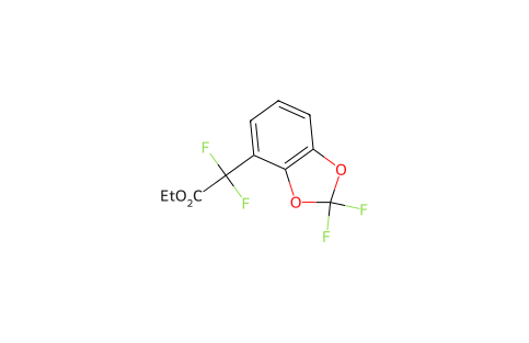 CCOC(=O)C(F)(F)c1cccc2c1OC(F)(F)O2